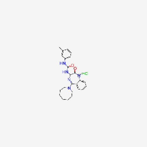 Cc1cccc(NC(=O)NC2N=C(N3CCCCCCC3)c3ccccc3N(C)C2=O)c1.Cl